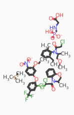 CC1COc2ccccc2N1C(=O)C(Cl)Cl.CCOc1cc(Oc2ccc(C(F)(F)F)cc2Cl)ccc1[N+](=O)[O-].CCc1cccc(C)c1N(C(=O)CCl)C(C)COC.C[S+](C)C.O=C(O)CNCP(=O)([O-])O